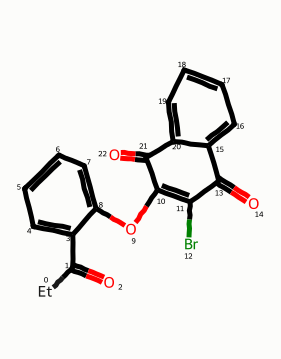 CCC(=O)c1ccccc1OC1=C(Br)C(=O)c2ccccc2C1=O